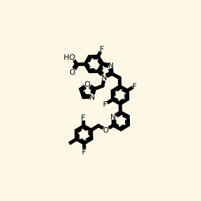 Cc1cc(F)c(COc2cccc(-c3cc(F)c(Cc4nc5c(F)cc(C(=O)O)cc5n4Cc4ncco4)cc3F)n2)cc1F